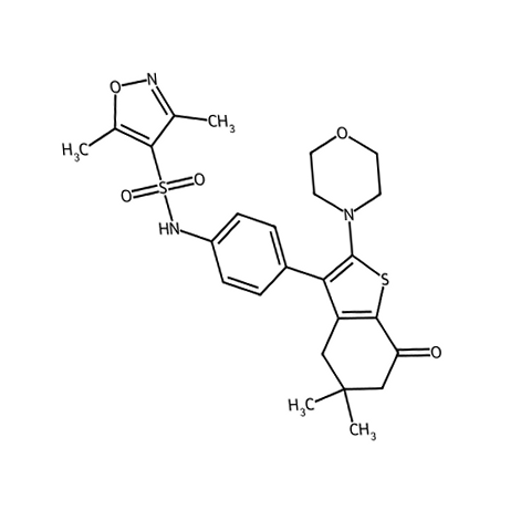 Cc1noc(C)c1S(=O)(=O)Nc1ccc(-c2c(N3CCOCC3)sc3c2CC(C)(C)CC3=O)cc1